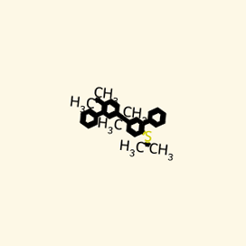 CC(C)Sc1ccc(C(C)(C)c2ccc(C(C)C)c(-c3ccccc3)c2)cc1-c1ccccc1